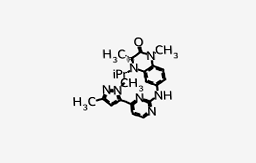 Cc1cc(-c2ccnc(Nc3ccc4c(c3)N(C(C)C)[C@H](C)C(=O)N4C)n2)n(C)n1